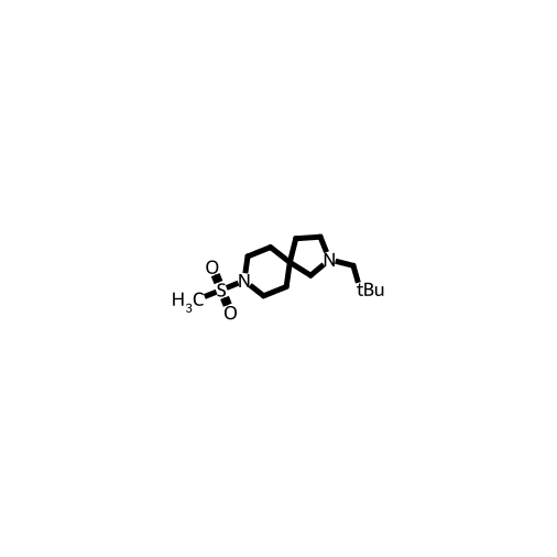 CC(C)(C)CN1CCC2(CCN(S(C)(=O)=O)CC2)C1